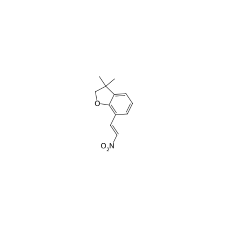 CC1(C)COc2c(/C=C/[N+](=O)[O-])cccc21